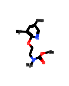 Cc1cc(C=O)cnc1OCCN(C)C(=O)OC(C)(C)C